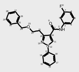 O=C(Nc1cccc(F)c1)c1cn(-c2ccccc2)nc1CCOCc1ccccc1